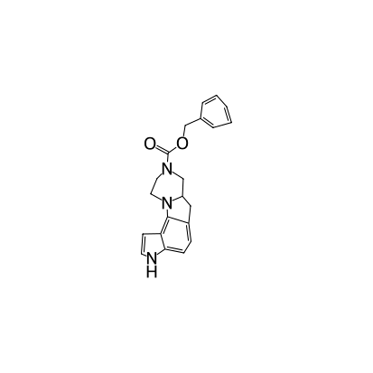 O=C(OCc1ccccc1)N1CCN2c3c(ccc4[nH]ccc34)CC2C1